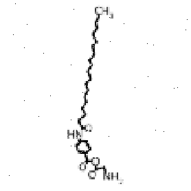 CCCCCCCCCCCCCCCCCCCC(=O)Nc1ccc(C(=O)OC(=O)CN)cc1